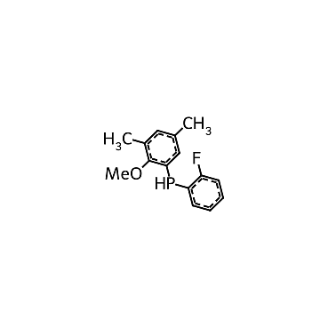 COc1c(C)cc(C)cc1Pc1ccccc1F